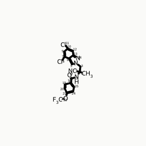 CC(C#N)(Cn1cc2c(Cl)cc(Cl)cc2n1)NC(=O)c1ccc(OC(F)(F)F)cc1